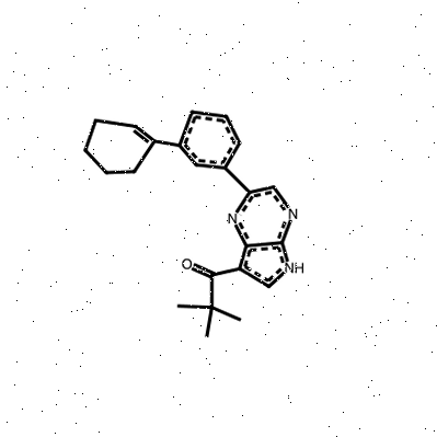 CC(C)(C)C(=O)c1c[nH]c2ncc(-c3cccc(C4=CCCCC4)c3)nc12